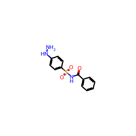 NNc1ccc(S(=O)(=O)NC(=O)c2ccccc2)cc1